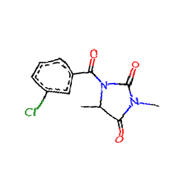 CC1C(=O)N(C)C(=O)N1C(=O)c1cccc(Cl)c1